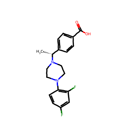 C[C@H](c1ccc(C(=O)O)cc1)N1CCN(c2ccc(F)cc2F)CC1